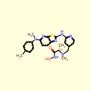 Cc1ccc(N(C)c2ccc3nc(Nc4cc(CN(C)[C@@H](C)C(=O)NO)ccn4)sc3n2)cc1